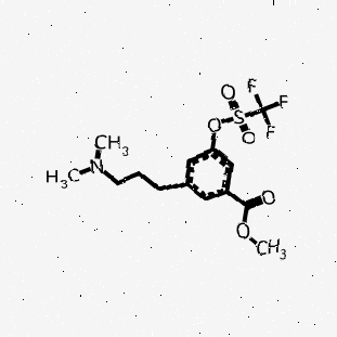 COC(=O)c1cc(CCCN(C)C)cc(OS(=O)(=O)C(F)(F)F)c1